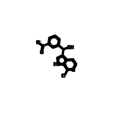 O=[N+]([O-])c1cccc(C(O)c2c[nH]c3c(Cl)nccc23)c1